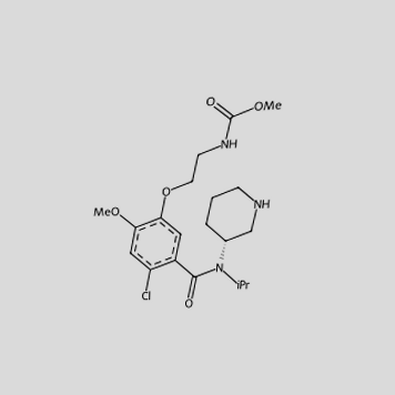 COC(=O)NCCOc1cc(C(=O)N(C(C)C)[C@@H]2CCCNC2)c(Cl)cc1OC